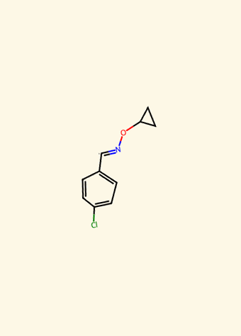 Clc1ccc(/[C]=N/OC2CC2)cc1